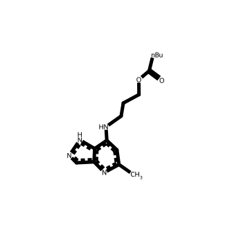 CCCCC(=O)OCCCNc1cc(C)nc2cn[nH]c12